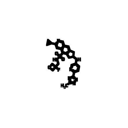 Cn1nnc(-c2ccc(NC3Cc4cc5cnc(C6CC6)cc5c(S(=O)(=O)NCC5(F)COC5)c4C3)cn2)n1